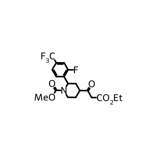 CCOC(=O)CC(=O)C1CCN(C(=O)OC)C(c2ccc(C(F)(F)F)cc2F)C1